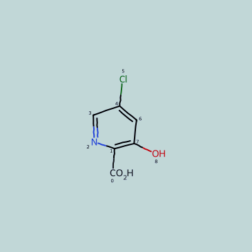 O=C(O)c1ncc(Cl)cc1O